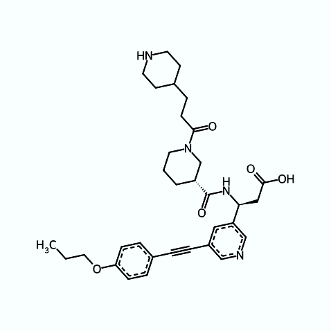 CCCOc1ccc(C#Cc2cncc([C@H](CC(=O)O)NC(=O)[C@@H]3CCCN(C(=O)CCC4CCNCC4)C3)c2)cc1